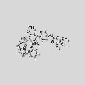 COc1cc(C2CCN(OC(=O)OC(C)(C)C)CC2)ccc1Nc1ncc2ccc(-c3ccccc3OC)n2n1